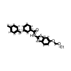 CCOCOc1ccc2nc(NC(=O)c3cccc([I+]c4ccc(C)cc4)c3)sc2c1